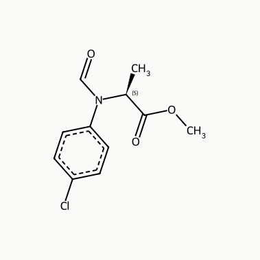 COC(=O)[C@H](C)N(C=O)c1ccc(Cl)cc1